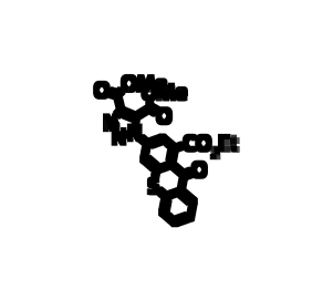 CCOC(=O)c1cc(-n2nnc(C(=O)OC)c2C(=O)OC)cc2sc3ccccc3c(=O)c12